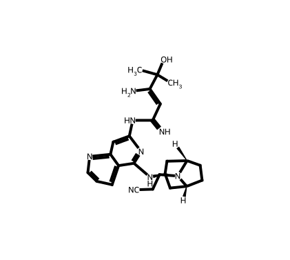 CC(C)(O)/C(N)=C/C(=N)Nc1cc2ncccc2c(N[C@@H]2C[C@H]3CC[C@@H](C2)N3CCC#N)n1